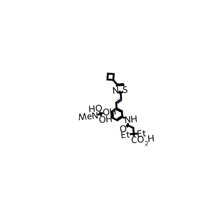 CCC(CC)(CC(=O)Nc1cccc(/C=C/c2nc(C3CCC3)cs2)c1)C(=O)O.CNC(O)(O)O